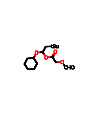 CC(C)(C)CC(OC(=O)COC=O)OC1CCCCC1